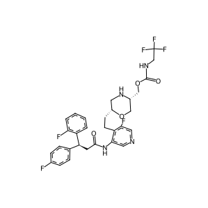 O=C(C[C@@H](c1ccc(F)cc1)c1ccccc1F)Nc1cncc(F)c1CC[C@@H]1CN[C@H](COC(=O)NCC(F)(F)F)CO1